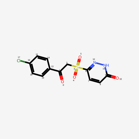 O=C(CS(=O)(=O)c1ccc(=O)[nH]n1)c1ccc(Cl)cc1